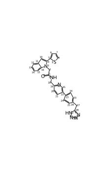 O=C(Cn1c(-c2cccs2)cc2ccccc21)NCc1ccc(-c2ccc(Cc3nnn[nH]3)cc2)cn1